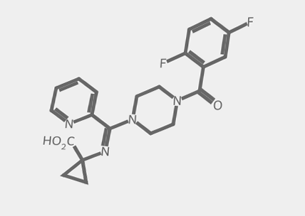 O=C(c1cc(F)ccc1F)N1CCN(/C(=N/C2(C(=O)O)CC2)c2ccccn2)CC1